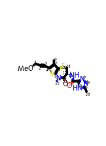 COCC#Cc1sc2c(c1C)SC[C@H](NC(=O)c1nnc(C)[nH]1)C(=O)N2C